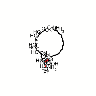 C[C@H]1C[C@H](O)[C@@H](C)/C=C/C=C/C=C/C=C/C=C/C=C/C=C/C(O[C@@H]2OC[C@@H](O)[C@H](N)[C@@H]2O)C[C@@H]2OC(O)(CC(O)CC(O)C(O)CCC(O)CC(O)CC(=O)O1)C[C@H](O)[C@H]2C(=O)NCCOC(F)(F)F